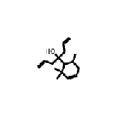 C=CCC(O)(CC=C)C1C(C)CC=CC1(C)C